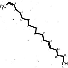 C/C=C\CCCCCCCCCC=CCCCC